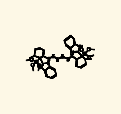 CO[Si](OC)(OC)C1(c2nc3ccccc3s2)C(SSSSSSC2=CC=CC(C)C2(c2nc3ccccc3s2)[Si](OC)(OC)OC)=CC=CC1C